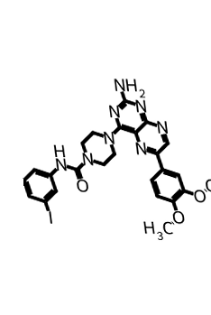 COc1ccc(-c2cnc3nc(N)nc(N4CCN(C(=O)Nc5cccc(I)c5)CC4)c3n2)cc1OC